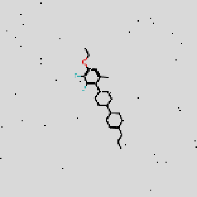 CCCC1CCC(C2CCC(c3c(C)cc(OCC)c(F)c3F)CC2)CC1